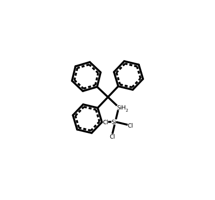 Cl[Si](Cl)(Cl)[SiH2]C(c1ccccc1)(c1ccccc1)c1ccccc1